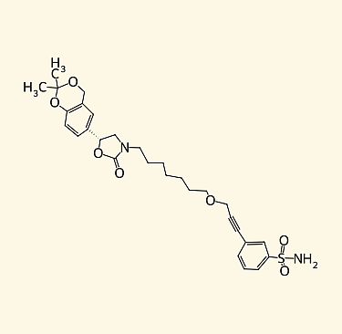 CC1(C)OCc2cc([C@@H]3CN(CCCCCCCOCC#Cc4cccc(S(N)(=O)=O)c4)C(=O)O3)ccc2O1